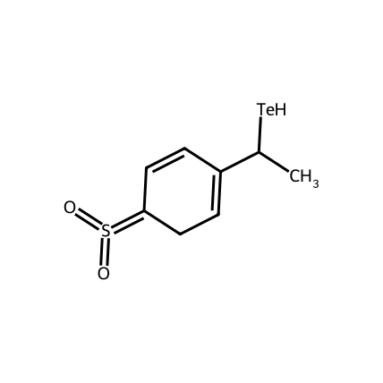 CC([TeH])C1=CCC(=S(=O)=O)C=C1